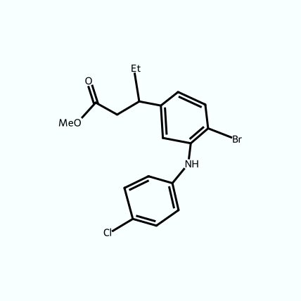 CCC(CC(=O)OC)c1ccc(Br)c(Nc2ccc(Cl)cc2)c1